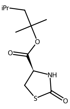 CC(C)CC(C)(C)OC(=O)[C@@H]1CSC(=O)N1